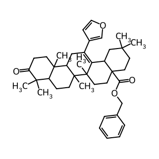 CC1(C)CCC2(C(=O)OCc3ccccc3)CCC3(C)C(=C(c4ccoc4)CC4C5(C)CCC(=O)C(C)(C)C5CCC43C)C2C1